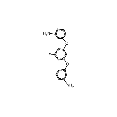 Nc1cccc(Oc2cc(F)cc(Oc3cccc(N)c3)c2)c1